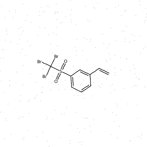 C=Cc1cccc(S(=O)(=O)C(Br)(Br)Br)c1